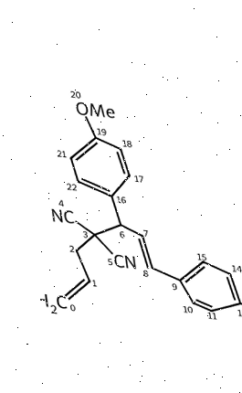 C=CCC(C#N)(C#N)C(C=Cc1ccc([N+](=O)[O-])cc1)c1ccc(OC)cc1